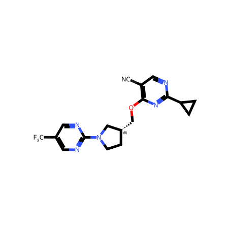 N#Cc1cnc(C2CC2)nc1OC[C@@H]1CCN(c2ncc(C(F)(F)F)cn2)C1